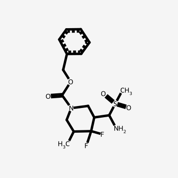 CC1CN(C(=O)OCc2ccccc2)CC(C(N)S(C)(=O)=O)C1(F)F